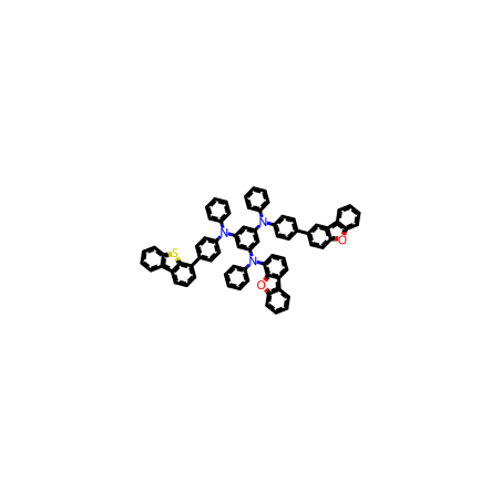 c1ccc(N(c2ccc(-c3ccc4oc5ccccc5c4c3)cc2)c2cc(N(c3ccccc3)c3ccc(-c4cccc5c4sc4ccccc45)cc3)cc(N(c3ccccc3)c3cccc4c3oc3ccccc34)c2)cc1